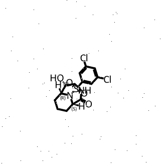 O=C1NC[C@@H](O)[C@H]2CCC[C@@H]1N2S(=O)(=O)c1cc(Cl)cc(Cl)c1